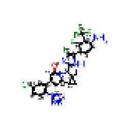 Nc1ccc(-c2[nH]c(C3[C@@H]4CC4c4cc(-c5cc(Cl)ccc5-n5cnnn5)cc(=O)n43)nc2F)c(F)c1C(F)(F)F